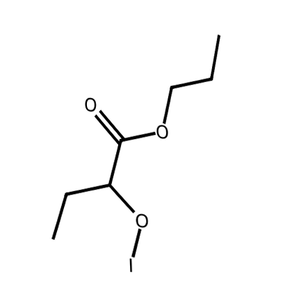 CCCOC(=O)C(CC)OI